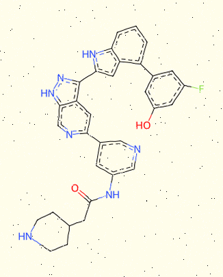 O=C(CC1CCNCC1)Nc1cncc(-c2cc3c(-c4cc5c(-c6cc(O)cc(F)c6)cccc5[nH]4)n[nH]c3cn2)c1